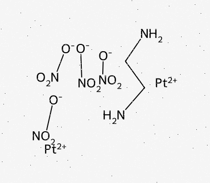 NCCN.O=[N+]([O-])[O-].O=[N+]([O-])[O-].O=[N+]([O-])[O-].O=[N+]([O-])[O-].[Pt+2].[Pt+2]